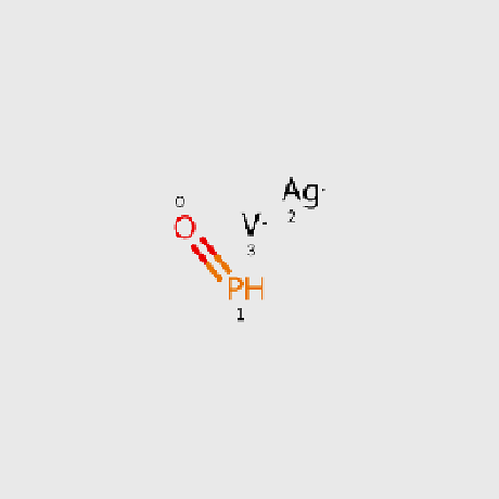 O=P.[Ag].[V]